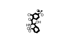 CS(=O)(=O)c1ccc(C(=O)C2NS(=O)(=O)c3ccccc3C2O)c(Cl)c1